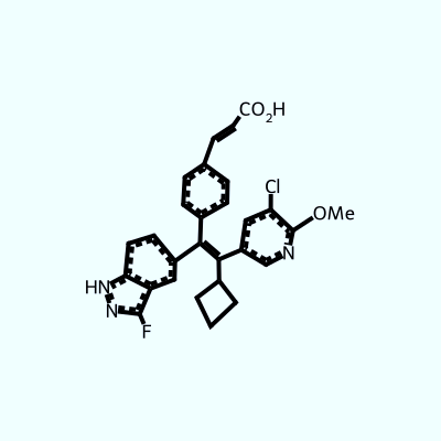 COc1ncc(C(=C(c2ccc(C=CC(=O)O)cc2)c2ccc3[nH]nc(F)c3c2)C2CCC2)cc1Cl